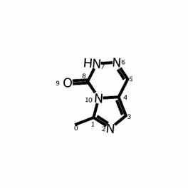 Cc1ncc2cn[nH]c(=O)n12